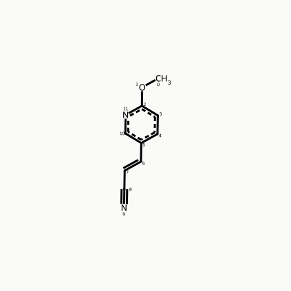 COc1ccc(C=CC#N)cn1